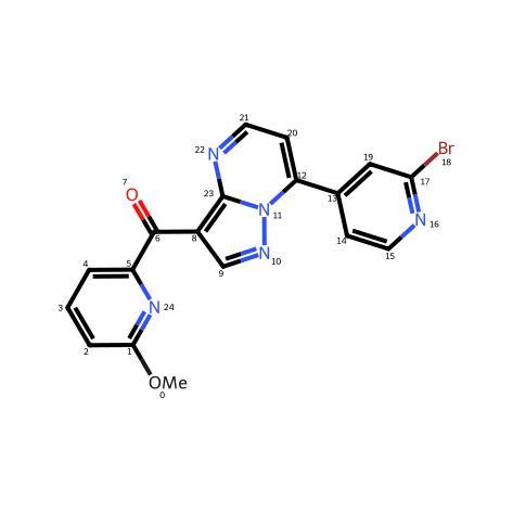 COc1cccc(C(=O)c2cnn3c(-c4ccnc(Br)c4)ccnc23)n1